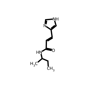 CCC(C)NC(=O)C=Cc1c[nH]cn1